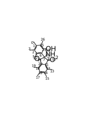 Cc1c(C)c(C)c(C2(N)C(=O)c3c(C)c(C)c(C)c(C)c3C2=O)c(O)c1C